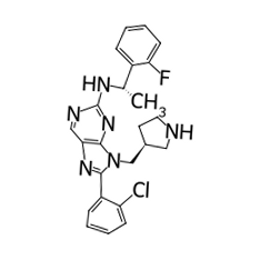 C[C@H](Nc1ncc2nc(-c3ccccc3Cl)n(C[C@H]3CCNC3)c2n1)c1ccccc1F